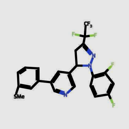 CSc1cccc(-c2cncc(C3CC(C(F)(F)C(F)(F)F)=NN3c3ccc(F)cc3F)c2)c1